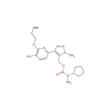 CSCCOc1nc(-c2cnn(C)c2COC(=O)N(C)C2CCCC2)ccc1O